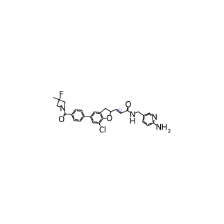 CC1(F)CN(C(=O)c2ccc(-c3cc(Cl)c4c(c3)CC(/C=C/C(=O)NCc3ccc(N)nc3)O4)cc2)C1